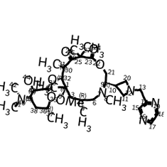 CO[C@]1(C)C[C@@H](C)CN(C)[C@H](C2CN(Cc3cnccn3)C2)COC(=O)C(C)(C)C(=O)[C@H](C)[C@H]1O[C@@H]1O[C@H](C)C[C@H](N(C)C)[C@H]1O